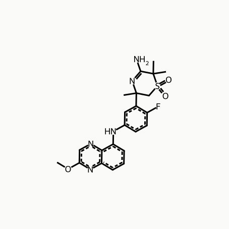 COc1cnc2c(Nc3ccc(F)c(C4(C)CS(=O)(=O)C(C)(C)C(N)=N4)c3)cccc2n1